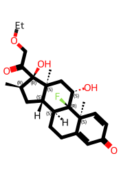 CCOCC(=O)[C@@]1(O)[C@H](C)C[C@H]2[C@@H]3CCC4=CC(=O)C=C[C@]4(C)[C@@]3(F)[C@@H](O)C[C@@]21C